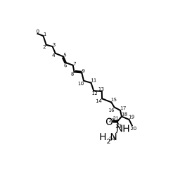 CCCCCC=CCC=CCCCCCCCCC(CC)C(=O)NN